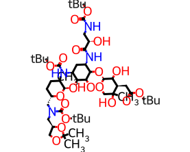 CC1CC[C@@H](CN(C[C@@H]2COC(C)(C)O2)C(=O)OC(C)(C)C)O[C@@H]1OC1C(O)C(O[C@H]2OCC(C)(O)[C@H](CC(=O)OC(C)(C)C)C2O)[C@H](NC(=O)[C@@H](O)CNC(=O)OC(C)(C)C)C[C@@H]1NC(=O)OC(C)(C)C